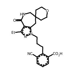 CCc1nn(CCCc2c(C#N)cccc2C(=O)O)c2c1C(=O)NCC1(CCOCC1)C2